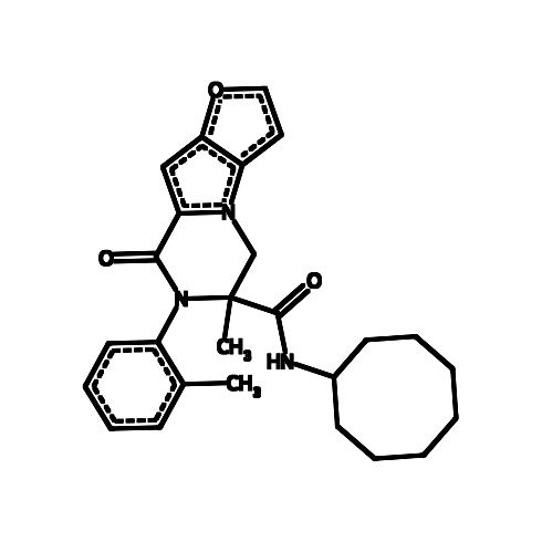 Cc1ccccc1N1C(=O)c2cc3occc3n2CC1(C)C(=O)NC1CCCCCCC1